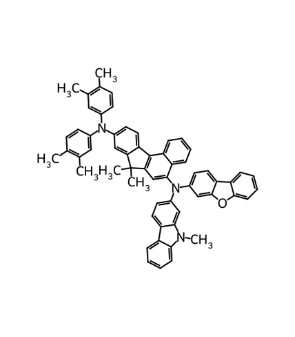 Cc1ccc(N(c2ccc(C)c(C)c2)c2ccc3c(c2)C(C)(C)c2cc(N(c4ccc5c(c4)oc4ccccc45)c4ccc5c6ccccc6n(C)c5c4)c4ccccc4c2-3)cc1C